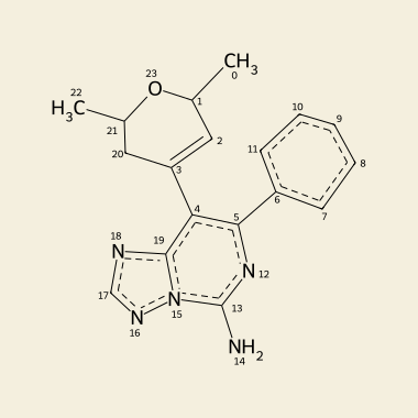 CC1C=C(c2c(-c3ccccc3)nc(N)n3ncnc23)CC(C)O1